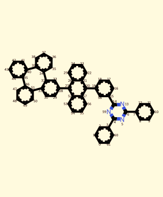 c1ccc(-c2nc(-c3ccccc3)nc(-c3cccc(-c4c5ccccc5c(-c5ccc6c(c5)-c5ccccc5-c5ccccc5-c5ccccc5-6)c5ccccc45)c3)n2)cc1